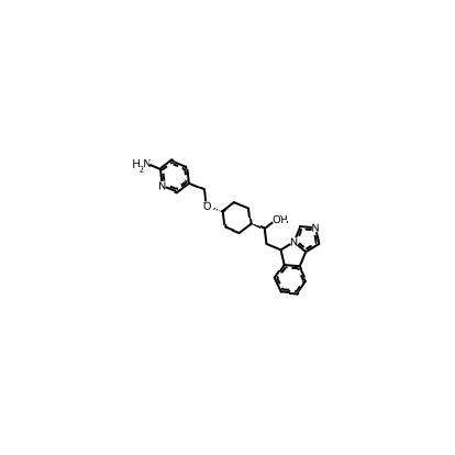 Nc1ccc(CO[C@H]2CC[C@H](C(O)CC3c4ccccc4-c4cncn43)CC2)cn1